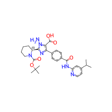 CC(C)c1ccnc(NC(=O)c2ccc(-c3nc([C@@H]4CCCCN4C(=O)OC(C)(C)C)n(N)c3C(=O)O)cc2)c1